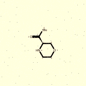 CC(C)(C)C(=O)[C@H]1COCCN1